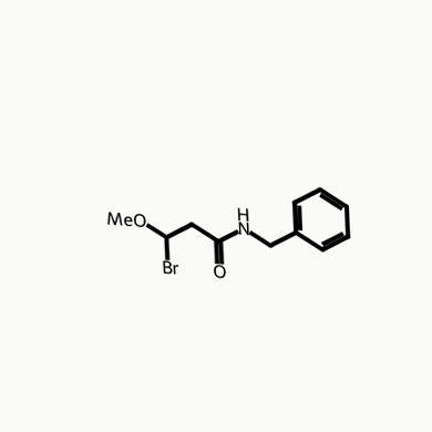 COC(Br)CC(=O)NCc1ccccc1